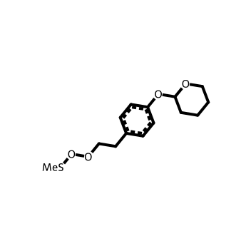 CSOOCCc1ccc(OC2CCCCO2)cc1